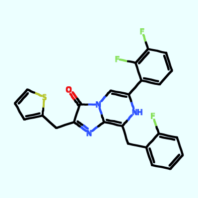 O=c1c(Cc2cccs2)nc2c(Cc3ccccc3F)[nH]c(-c3cccc(F)c3F)cn1-2